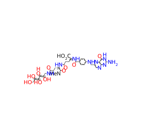 CNC(=O)[C@H](CCC(=O)NC[C@H](O)[C@@H](O)[C@H](O)[C@H](O)CO)NC(=O)CC[C@@H](NC(=O)c1ccc(NCc2cnc3nc(N)[nH]c(=O)c3n2)cc1)C(=O)O